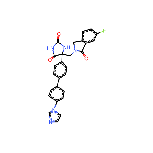 O=C1NC(=O)C(CN2Cc3ccc(F)cc3C2=O)(c2ccc(-c3ccc(-n4ccnc4)cc3)cc2)N1